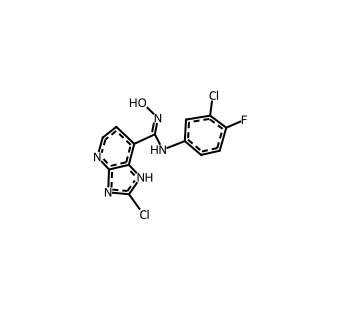 O/N=C(/Nc1ccc(F)c(Cl)c1)c1ccnc2nc(Cl)[nH]c12